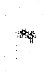 O=C1NCCN(Cc2ccc(O)c(O)c2Cl)C1=O